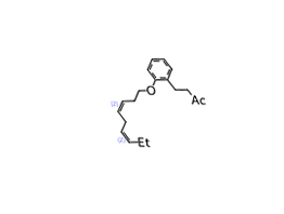 CC/C=C\C/C=C\CCOc1ccccc1CCC(C)=O